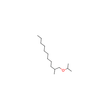 CCCCCCCCCC(C)COC(C)C